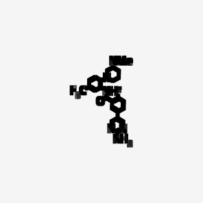 CN[C@H]1CCCN(c2ccc(C(F)(F)F)cc2NC(=O)c2cc(-c3cnc(N)nc3)ccc2F)C1